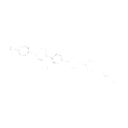 CCCCCC1CCC(C2CCC(c3cc(F)c(C4CCC(c5ccc(F)cc5)CC4)c(F)c3)CC2)CC1